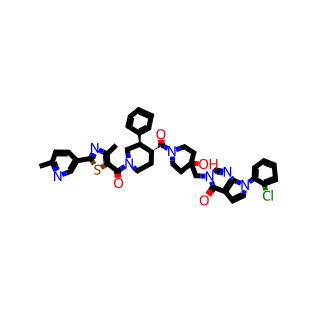 Cc1ccc(-c2nc(C)c(C(=O)N3CC[C@@H](C(=O)N4CCC(O)(Cn5cnc6c(ccn6-c6ccccc6Cl)c5=O)CC4)[C@H](c4ccccc4)C3)s2)cn1